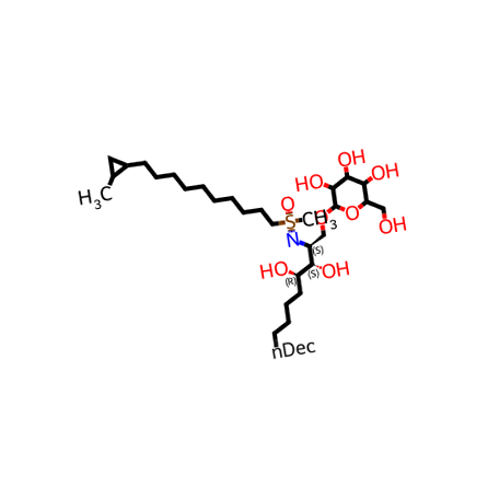 CCCCCCCCCCCCCC[C@@H](O)[C@@H](O)[C@H](COC1OC(CO)C(O)C(O)C1O)N=S(C)(=O)CCCCCCCCCCC1CC1C